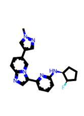 Cn1cc(-c2ccc3ncc(-c4cccc(N[C@H]5CCC[C@H]5F)n4)n3c2)cn1